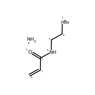 C=CC(=O)NCCCCCC.N